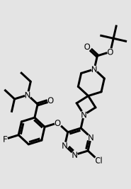 CCN(C(=O)c1cc(F)ccc1Oc1nnc(Cl)nc1N1CC2(CCN(C(=O)OC(C)(C)C)CC2)C1)C(C)C